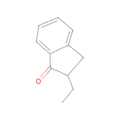 CCC1Cc2ccccc2C1=O